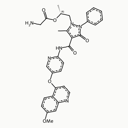 COc1ccc2c(Oc3ccc(NC(=O)c4c(C)n(C[C@@H](C)OC(=O)CN)n(-c5ccccc5)c4=O)nc3)ccnc2c1